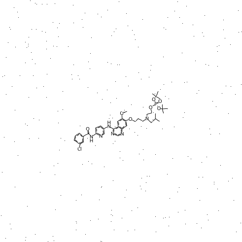 COc1cc2c(Nc3ccc(NC(=O)c4cccc(Cl)c4)nc3)ncnc2cc1OCCCN(CCOP(=O)(OC(C)(C)C)OC(C)(C)C)CC(C)C